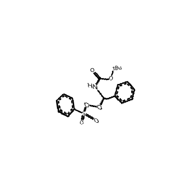 CC(C)(C)OC(=O)NC(OOS(=O)(=O)c1ccccc1)c1ccccc1